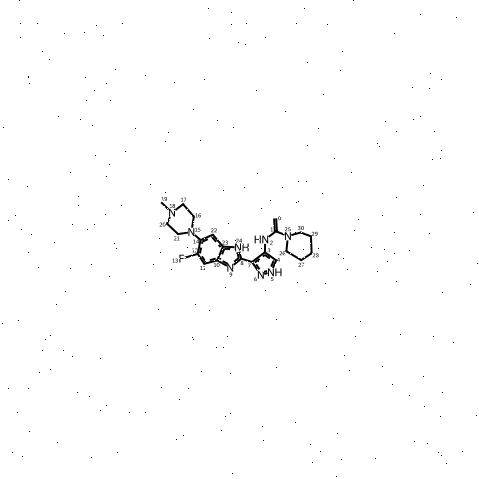 C=C(Nc1c[nH]nc1-c1nc2cc(F)c(N3CCN(C)CC3)cc2[nH]1)N1CCCCC1